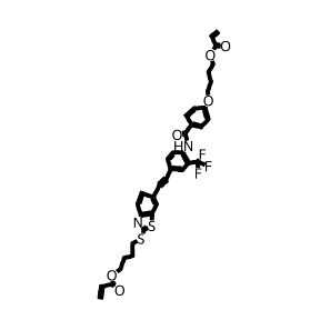 C=CC(=O)OCCCCOc1ccc(C(=O)Nc2ccc(C#Cc3ccc4nc(SCCCCOC(=O)C=C)sc4c3)cc2C(F)(F)F)cc1